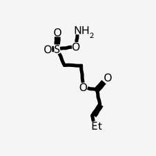 CCC=CC(=O)OCCS(=O)(=O)ON